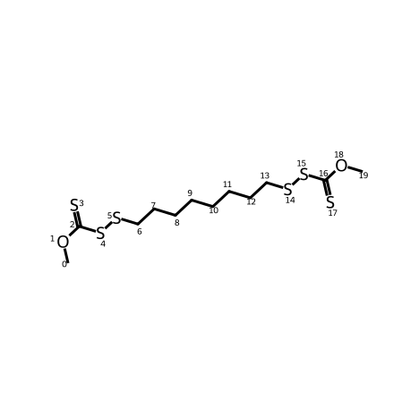 COC(=S)SSCCCCCCCCSSC(=S)OC